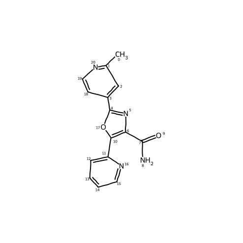 Cc1cc(-c2nc(C(N)=O)c(-c3ccccn3)o2)ccn1